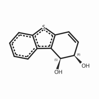 O[C@@H]1C=Cc2sc3ccccc3c2[C@@H]1O